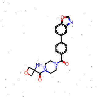 NC1(C(=O)N2CCN(C(=O)c3ccc(-c4ccc5ocnc5c4)cc3)CC2)COC1